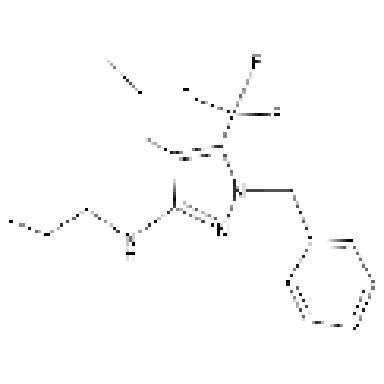 CCCNc1nn(Cc2ccccc2)c(C(F)(F)F)c1CCC